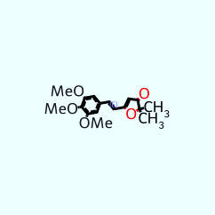 COc1cc(/C=C/C2=CC(=O)C(C)(C)O2)cc(OC)c1OC